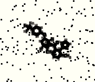 Cc1cccc(C(=O)N2[C@H](C)[C@H]3C[C@@H](Oc4ccc(C(F)(F)F)nc4)[C@@H]2C3)c1-n1nccn1